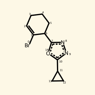 BrC1=CCCCC1c1nnc(C2CC2)o1